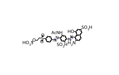 CC(=O)Nc1cc(/N=N/c2c(N)ccc3cc(S(=O)(=O)O)cc(O)c23)c(S(=O)(=O)O)cc1/N=N/c1ccc(S(=O)(=O)CCOS(=O)(=O)O)cc1